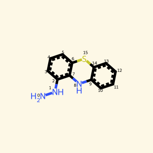 NNc1cccc2c1Nc1ccccc1S2